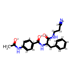 CC(=O)Nc1ccc(C(=O)NC(Cc2ccccc2)C(=O)NCCC#N)cc1